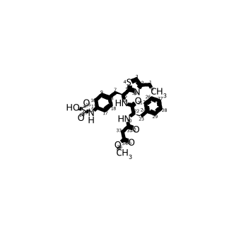 CCc1csc([C@H](CC2=CCC(NS(=O)(=O)O)C=C2)NC(=O)[C@H](Cc2ccccc2)NC(=O)CC(=O)OC)n1